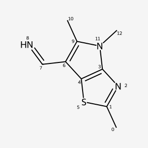 Cc1nc2c(s1)c(C=N)c(C)n2C